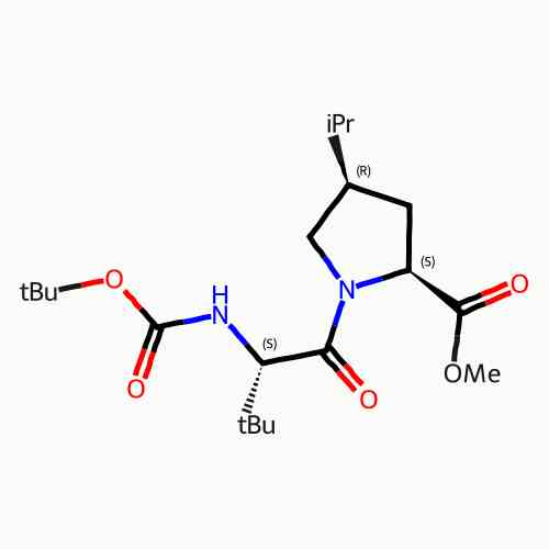 COC(=O)[C@@H]1C[C@H](C(C)C)CN1C(=O)[C@@H](NC(=O)OC(C)(C)C)C(C)(C)C